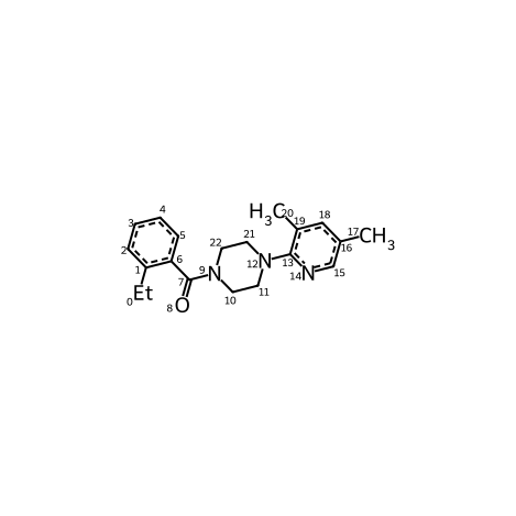 [CH2]Cc1ccccc1C(=O)N1CCN(c2ncc(C)cc2C)CC1